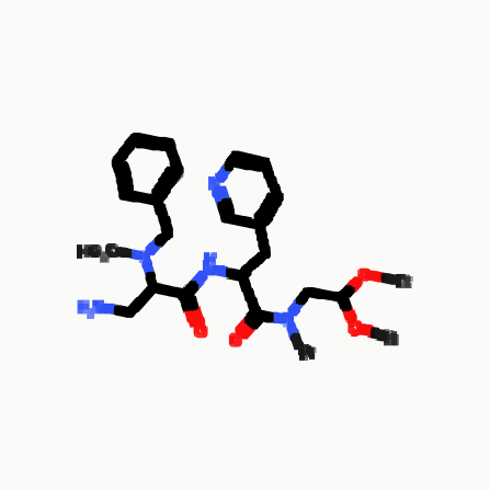 CCOC(CN(C(=O)C(Cc1cccnc1)NC(=O)C(CN)N(Cc1ccccc1)C(=O)O)C(C)C)OCC